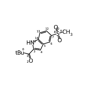 CC(C)(C)C(=O)c1cc2cc(S(C)(=O)=O)ccc2[nH]1